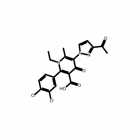 CCn1c(C)c(-n2ccc(C(C)=O)n2)c(=O)c(C(=O)O)c1-c1ccc(Cl)c(Cl)c1